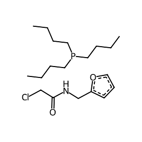 CCCCP(CCCC)CCCC.O=C(CCl)NCc1ccco1